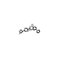 Cn1cc(-c2cnc(C(=O)Nc3cc(-n4cccc4)ccc3N)cn2)cn1